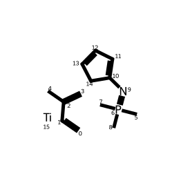 C=CC(=C)C.CP(C)(C)=NC1=CC=CC1.[Ti]